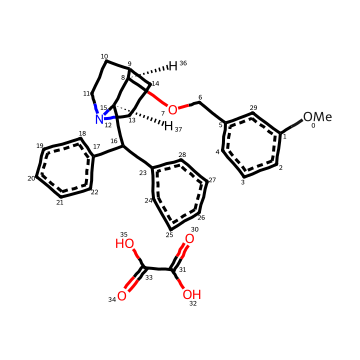 COc1cccc(CO[C@@H]2C3CCN(CC3)[C@@H]2C(c2ccccc2)c2ccccc2)c1.O=C(O)C(=O)O